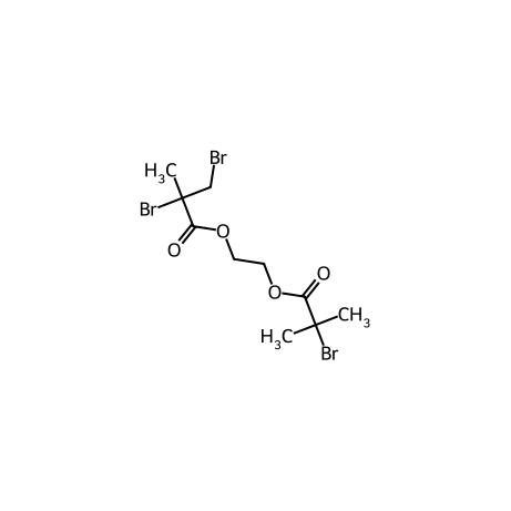 CC(C)(Br)C(=O)OCCOC(=O)C(C)(Br)CBr